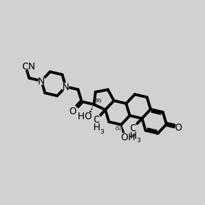 CC12C=CC(=O)C=C1CCC1C2[C@@H](O)CC2(C)C1CC[C@]2(O)C(=O)CN1CCN(CC#N)CC1